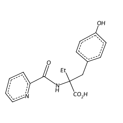 CCC(Cc1ccc(O)cc1)(NC(=O)c1ccccn1)C(=O)O